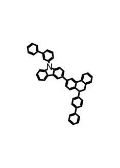 c1ccc(-c2ccc(C3Cc4ccccc4-c4cc(-c5ccc6c(c5)c5ccccc5n6-c5cccc(-c6ccccc6)c5)ccc43)cc2)cc1